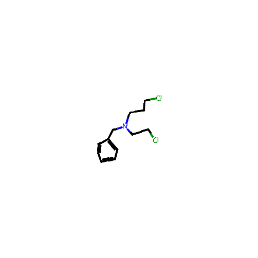 ClCCCN(CCCl)Cc1ccccc1